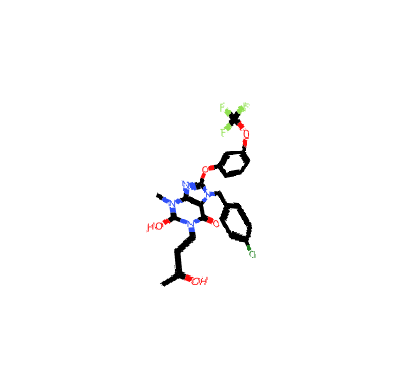 CC(O)CCN1C(=O)c2c(nc(Oc3cccc(OC(F)(F)F)c3)n2Cc2ccc(Cl)cc2)N(C)C1O